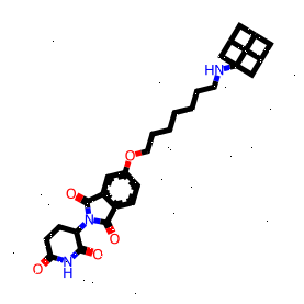 O=C1CCC(N2C(=O)c3ccc(OCCCCCCCNC45CC6CC7CC(C4)C765)cc3C2=O)C(=O)N1